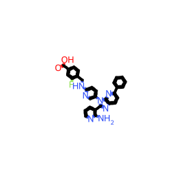 Nc1ncccc1-c1nc2ccc(-c3ccccc3)nc2n1-c1ccc(NCc2ccc(C(=O)O)cc2F)nc1